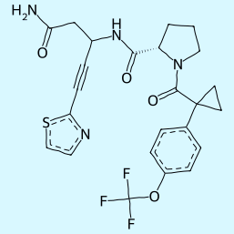 NC(=O)CC(C#Cc1nccs1)NC(=O)[C@@H]1CCCN1C(=O)C1(c2ccc(OC(F)(F)F)cc2)CC1